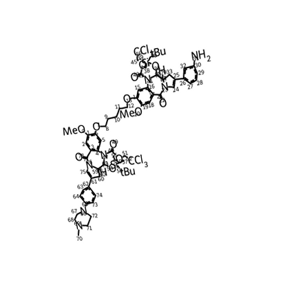 COc1cc2c(cc1OCCCCCOc1cc3c(cc1OC)C(=O)N1C=C(c4cccc(N)c4)C[C@H]1[C@H](O[Si](C)(C)C(C)(C)C)N3C(=O)OCC(Cl)(Cl)Cl)N(C(=O)OCC(Cl)(Cl)Cl)[C@@H](O[Si](C)(C)C(C)(C)C)[C@@H]1CC(c3ccc(N4CCN(C)CC4)cc3)=CN1C2=O